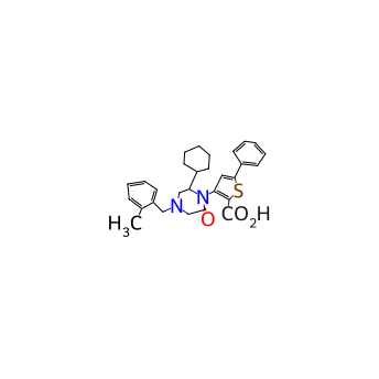 Cc1ccccc1CN1CC(=O)N(c2cc(-c3ccccc3)sc2C(=O)O)C(C2CCCCC2)C1